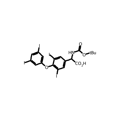 CC(C)(C)OC(=O)NC(C(=O)O)c1cc(I)c(Oc2cc(I)cc(I)c2)c(I)c1